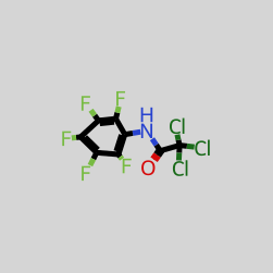 O=C(Nc1c(F)c(F)c(F)c(F)c1F)C(Cl)(Cl)Cl